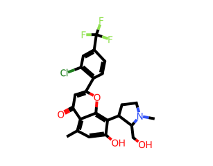 Cc1cc(O)c(C2CCN(C)C2CO)c2oc(-c3ccc(C(F)(F)F)cc3Cl)cc(=O)c12